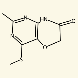 CSc1nc(C)nc2c1OCC(=O)N2